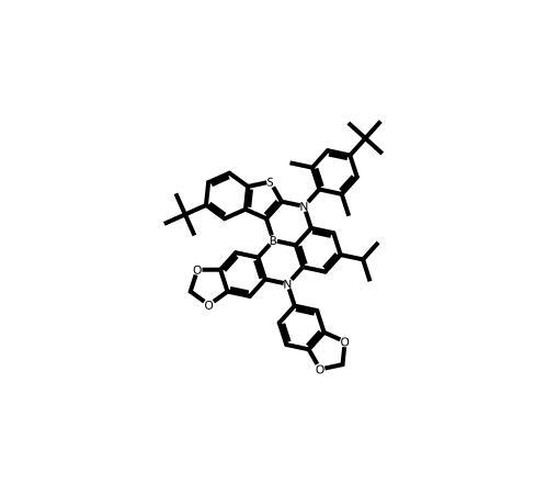 Cc1cc(C(C)(C)C)cc(C)c1N1c2cc(C(C)C)cc3c2B(c2cc4c(cc2N3c2ccc3c(c2)OCO3)OCO4)c2c1sc1ccc(C(C)(C)C)cc21